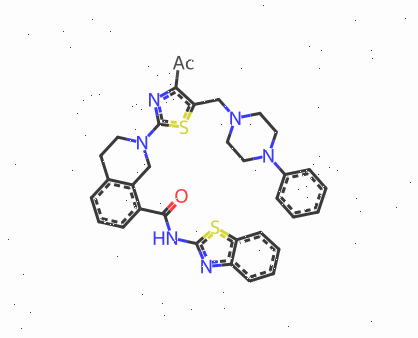 CC(=O)c1nc(N2CCc3cccc(C(=O)Nc4nc5ccccc5s4)c3C2)sc1CN1CCN(c2ccccc2)CC1